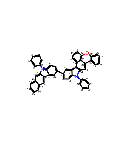 c1ccc(-n2c3ccc(-c4ccc5c(c4)c4c6cccc7c6c(cc4n5-c4ccccc4)-c4ccccc4O7)cc3c3cc4ccccc4cc32)cc1